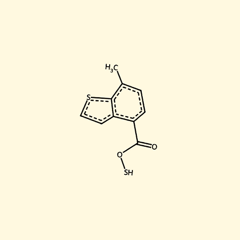 Cc1ccc(C(=O)OS)c2ccsc12